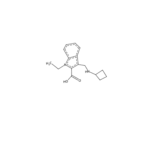 CCn1c(C(=O)O)c(CNC2CCC2)c2ccccc21